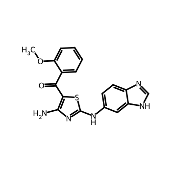 COc1ccccc1C(=O)c1sc(Nc2ccc3nc[nH]c3c2)nc1N